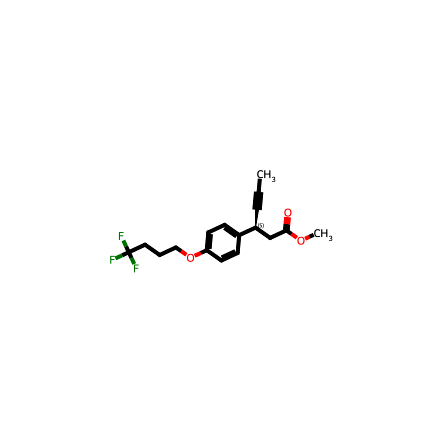 CC#C[C@@H](CC(=O)OC)c1ccc(OCCCC(F)(F)F)cc1